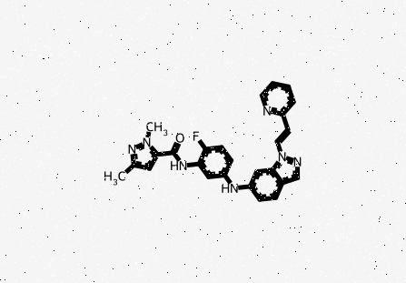 Cc1cc(C(=O)Nc2cc(Nc3ccc4cnn(C=Cc5ccccn5)c4c3)ccc2F)n(C)n1